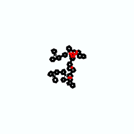 CC1(C)c2ccccc2-c2cccc(-c3ccccc3N(c3cccc(-c4ccc5c6ccccc6n(C6C=CC=CC6)c5c4)c3)c3cccc(-c4cccc5c4ccc4ccc(-c6ccc7c(c6)C(C)(C)c6c(-c8ccccc8N(c8ccc(-c9ccc%10c%11ccccc%11n(-c%11ccccc%11)c%10c9)cc8)c8cccc(-c9cccc%10c9ccc9ccccc9%10)c8)cccc6-7)cc45)c3)c21